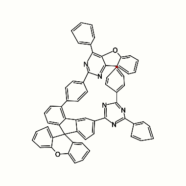 c1ccc(-c2nc(-c3ccccc3)nc(-c3ccc4c(c3)-c3c(-c5ccc(-c6nc(-c7ccccc7)c7oc8ccccc8c7n6)cc5)cccc3C43c4ccccc4Oc4ccccc43)n2)cc1